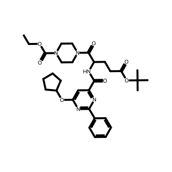 CCOC(=O)N1CCN(C(=O)C(CCC(=O)OC(C)(C)C)NC(=O)c2cc(OC3CCCC3)nc(-c3ccccc3)n2)CC1